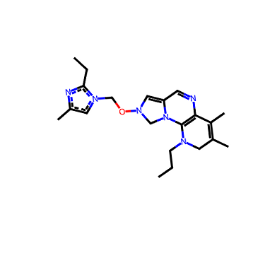 CCCN1CC(C)=C(C)C2=C1N1CN(OCn3cc(C)nc3CC)C=C1C=N2